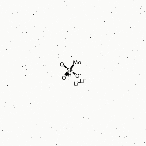 O=[SeH]([O-])([O-])[Mo].[Li+].[Li+]